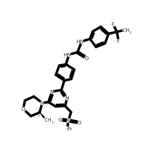 CC(C)S(=O)(=O)Cc1cc(N2CCOC[C@@H]2C)nc(-c2ccc(NC(=O)Nc3ccc(C(C)(F)F)cc3)cc2)n1